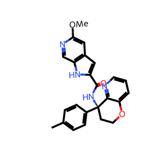 COc1cc2cc(C(=O)N[C@]3(c4ccc(C)cc4)CCOc4cccnc43)[nH]c2cn1